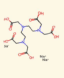 O=C(O)CN(CCN(CC(=O)O)CC(=O)O)CCN(CC(=O)O)CC(=O)O.[Na+].[Na+].[Na+]